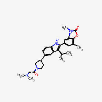 Cc1cc(-c2[nH]c3ccc(C4CCN(C(=O)CN(C)C)CC4)cc3c2C(C)C)cc2c1oc(=O)n2C